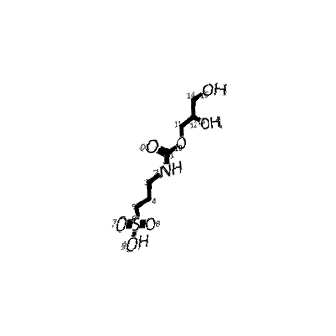 O=C(NCCCS(=O)(=O)O)OCC(O)CO